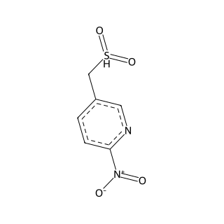 O=[N+]([O-])c1ccc(C[SH](=O)=O)cn1